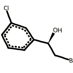 O[C@@H](CBr)c1cccc(Cl)c1